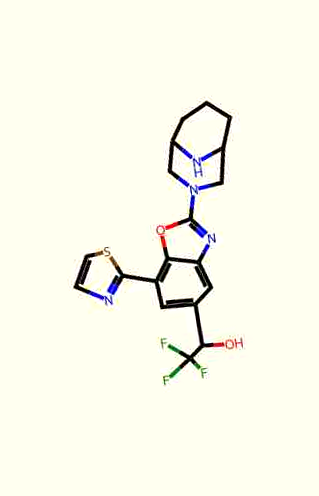 OC(c1cc(-c2nccs2)c2oc(N3CC4CCCC(C3)N4)nc2c1)C(F)(F)F